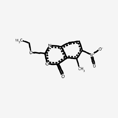 CCOc1nc2ccc([N+](=O)[O-])c(C)c2c(=O)o1